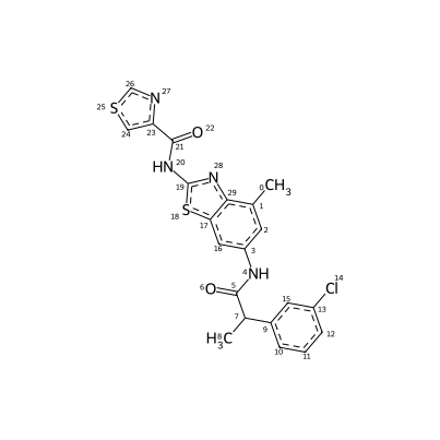 Cc1cc(NC(=O)C(C)c2cccc(Cl)c2)cc2sc(NC(=O)c3cscn3)nc12